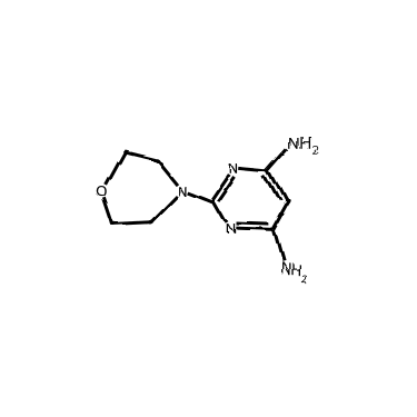 Nc1cc(N)nc(N2CCOCC2)n1